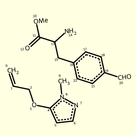 C=CCOc1ccnn1C.COC(=O)C(N)Cc1ccc(C=O)cc1